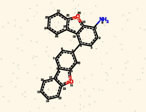 Nc1ccc(-c2ccc3c(c2)oc2ccccc23)c2c1oc1ccccc12